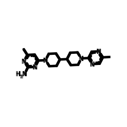 Cc1cnc(N2CCC(C3CCN(c4cc(C)nc(N)n4)CC3)CC2)cn1